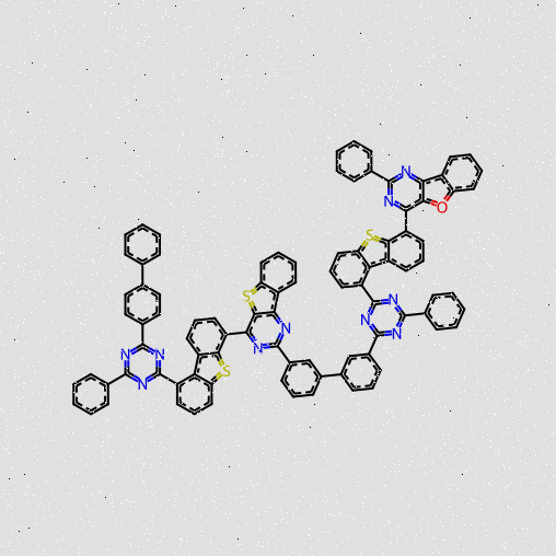 c1ccc(-c2ccc(-c3nc(-c4ccccc4)nc(-c4cccc5sc6c(-c7nc(-c8cccc(-c9cccc(-c%10nc(-c%11ccccc%11)nc(-c%11cccc%12sc%13c(-c%14nc(-c%15ccccc%15)nc%15c%14oc%14ccccc%14%15)cccc%13c%11%12)n%10)c9)c8)nc8c7sc7ccccc78)cccc6c45)n3)cc2)cc1